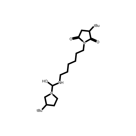 CC(C)(C)C1CCN(C(O)NCCCCCCN2C(=O)CC(C(C)(C)C)C2=O)C1